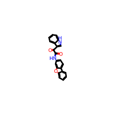 O=C(Nc1ccc2c(c1)oc1ccccc12)C(=O)c1c[nH]c2ccccc12